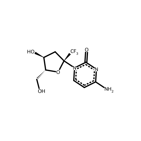 Nc1ccn([C@@]2(C(F)(F)F)C[C@H](O)[C@@H](CO)O2)c(=O)n1